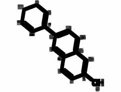 Oc1ccc2cc(C3=CCCC=C3)ccc2c1